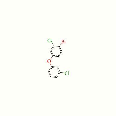 Clc1cccc(Oc2ccc(Br)c(Cl)c2)c1